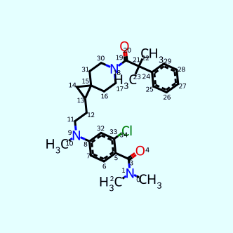 CN(C)C(=O)c1ccc(N(C)CCC2CC23CCN(C(=O)C(C)(C)c2ccccc2)CC3)cc1Cl